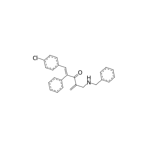 C=C(CNCc1ccccc1)C(=O)/C(=C/c1ccc(Cl)cc1)c1ccccc1